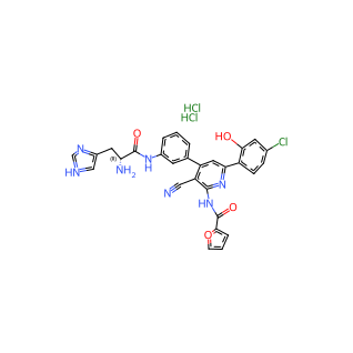 Cl.Cl.N#Cc1c(-c2cccc(NC(=O)[C@H](N)Cc3c[nH]cn3)c2)cc(-c2ccc(Cl)cc2O)nc1NC(=O)c1ccco1